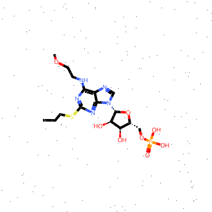 CCCSc1nc(NCCOC)c2ncn([C@@H]3O[C@H](COP(=O)(O)O)[C@@H](O)[C@H]3O)c2n1